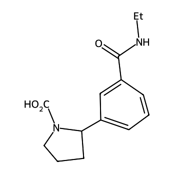 CCNC(=O)c1cccc(C2CCCN2C(=O)O)c1